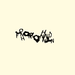 C=C(F)C(=O)Nc1ccc2c(c1)nc([C@H]1CCC[C@@H](Nc3ncc(C#N)c(OC)n3)C1)n2C